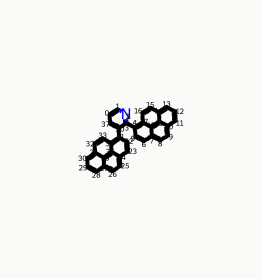 c1cnc(-c2ccc3ccc4cccc5ccc2c3c45)c(-c2ccc3ccc4cccc5ccc2c3c45)c1